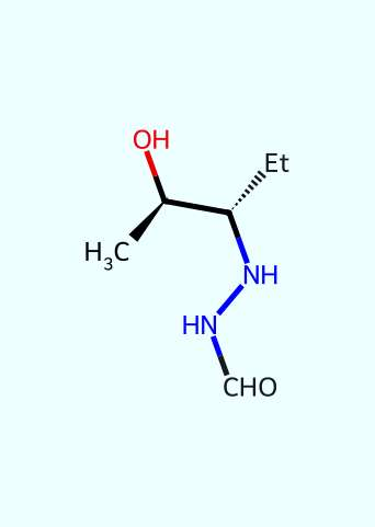 CC[C@H](NNC=O)[C@@H](C)O